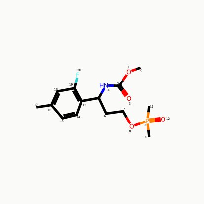 COC(=O)NC(CCOP(C)(C)=O)c1ccc(C)cc1F